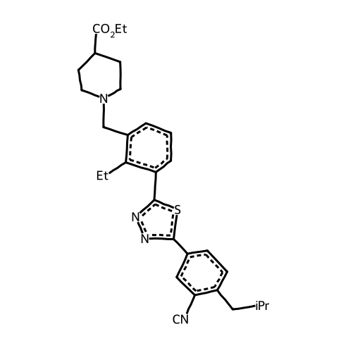 [C-]#[N+]c1cc(-c2nnc(-c3cccc(CN4CCC(C(=O)OCC)CC4)c3CC)s2)ccc1CC(C)C